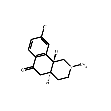 CN1CC[C@H]2CC(=O)c3ccc(Cl)cc3[C@@H]2C1